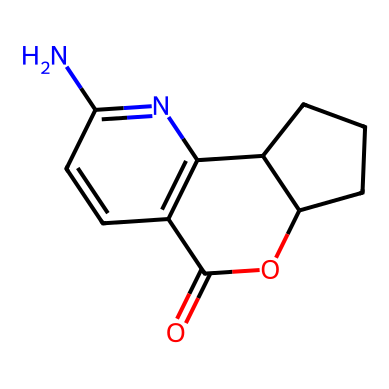 Nc1ccc2c(n1)C1CCCC1OC2=O